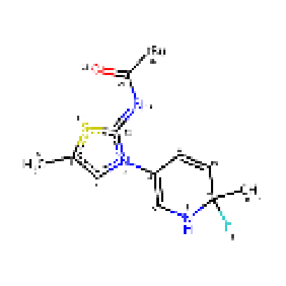 Cc1cn(C2=CNC(C)(F)C=C2)c(=NC(=O)C(C)(C)C)s1